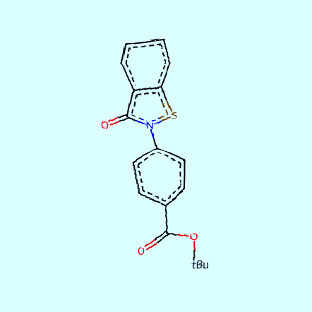 CC(C)(C)OC(=O)c1ccc(-n2sc3ccccc3c2=O)cc1